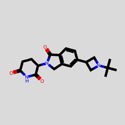 CC(C)(C)N1CC(c2ccc3c(c2)CN(C2CCC(=O)NC2=O)C3=O)C1